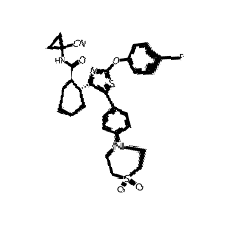 N#CC1(NC(=O)[C@@H]2CCCC[C@H]2c2nc(Oc3ccc(F)cc3)sc2-c2ccc(N3CCS(=O)(=O)CC3)cc2)CC1